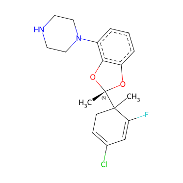 CC1([C@@]2(C)Oc3cccc(N4CCNCC4)c3O2)CC=C(Cl)C=C1F